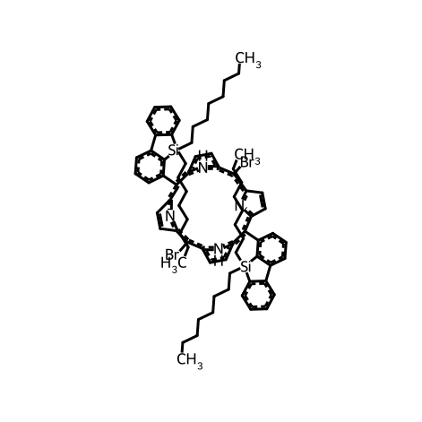 CCCCCCCC[Si]1(CCCCCCCC)c2ccccc2-c2cccc(-c3c4nc(c(Br)c5ccc([nH]5)c(-c5cccc6c5[Si](CCCCCCCC)(CCCCCCCC)c5ccccc5-6)c5nc(c(Br)c6ccc3[nH]6)C=C5)C=C4)c21